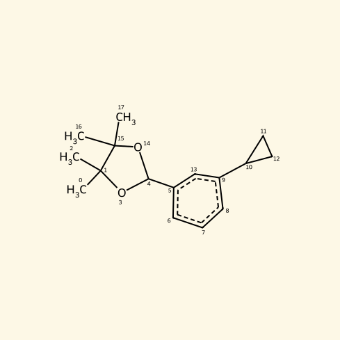 CC1(C)OC(c2cccc(C3CC3)c2)OC1(C)C